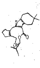 CC(C)COC(=O)c1c(C2=C(CO)CCC2)sc2c1CC(C)(C)CC2